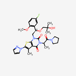 COc1ccc(F)cc1[C@H](Cn1c(=O)n(C(C)C(=O)N2CCCC2)c(=O)c2c(C)c(-n3cccn3)sc21)OCC(C)(C)O